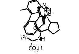 Cc1ccc2[nH]c3c(Br)c2c1-c1cccc-3c1-c1nnnn1C1CCCC1C(=O)N[C@H](C(=O)O)C(C)C